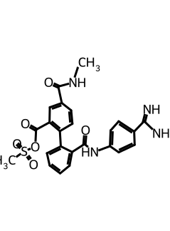 CCNC(=O)c1ccc(-c2ccccc2C(=O)Nc2ccc(C(=N)N)cc2)c(C(=O)OS(C)(=O)=O)c1